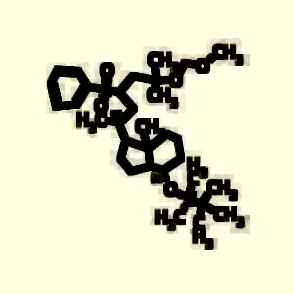 COCOC(C)(C)CC(C[C@H](C)C1CCC2[C@@H](O[Si](C)(C)C(C)(C)C)CCCC21C)S(=O)(=O)c1ccccc1